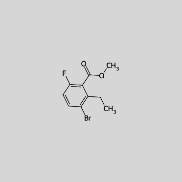 CCc1c(Br)ccc(F)c1C(=O)OC